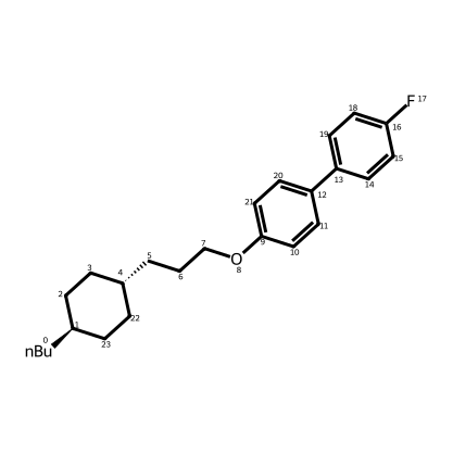 CCCC[C@H]1CC[C@H](CCCOc2ccc(-c3ccc(F)cc3)cc2)CC1